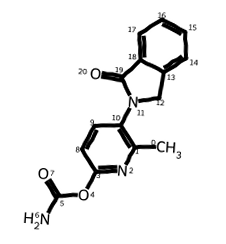 Cc1nc(OC(N)=O)ccc1N1Cc2ccccc2C1=O